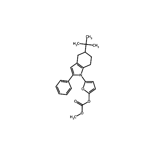 COC(=O)Oc1ccc(-n2c(-c3ccccc3)cc3c2CCC(C(C)(C)C)C3)o1